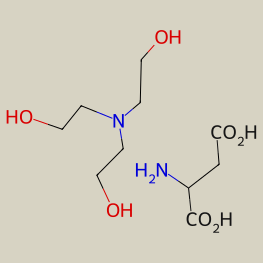 NC(CC(=O)O)C(=O)O.OCCN(CCO)CCO